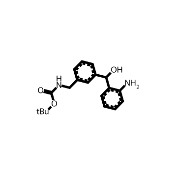 CC(C)(C)OC(=O)NCc1cccc(C(O)c2ccccc2N)c1